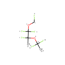 FCOC(F)(F)C(F)(OC(F)(F)C(F)(F)F)C(F)(F)F